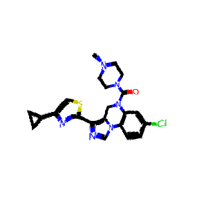 CN1CCN(C(=O)N2Cc3c(-c4nc(C5CC5)cs4)ncn3-c3ccc(Cl)cc32)CC1